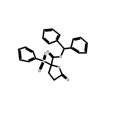 O=C1CCC(C(=O)OC(c2ccccc2)c2ccccc2)(S(=O)(=O)c2ccccc2)O1